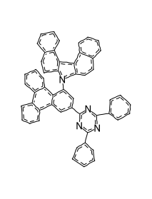 c1ccc(-c2nc(-c3ccccc3)nc(-c3cc(-n4c5ccc6ccccc6c5c5c6ccccc6ccc54)c4c5ccccc5c5ccccc5c4c3)n2)cc1